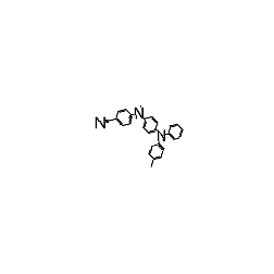 Cc1ccc(N(c2ccccc2)c2ccc(N(C)c3ccc(C#N)cc3)cc2)cc1